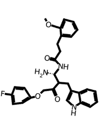 COc1ccccc1CCC(=O)N[C@@H](N)C(Cc1c[nH]c2ccccc12)C(=O)COc1ccc(F)cc1